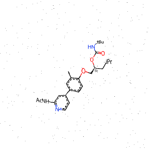 CC(=O)Nc1cc(-c2ccc(OC[C@H](CC(C)C)OC(=O)NC(C)(C)C)c(C)c2)ccn1